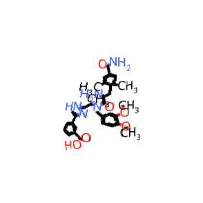 COc1ccc(CN(C(=O)[C@@H](N)Cc2c(C)cc(C(N)=O)cc2C)[C@@H](C)c2nc(-c3cccc(C(=O)O)c3)c[nH]2)cc1OC